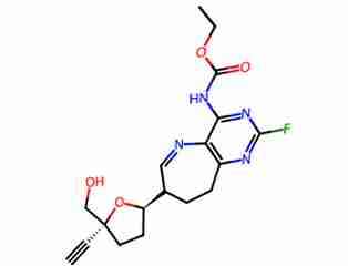 C#C[C@@]1(CO)CC[C@H](C2C=Nc3c(nc(F)nc3NC(=O)OCC)CC2)O1